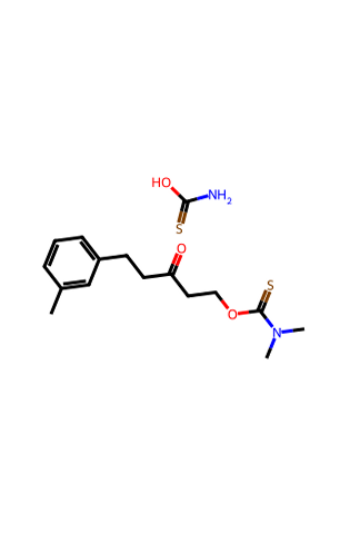 Cc1cccc(CCC(=O)CCOC(=S)N(C)C)c1.NC(O)=S